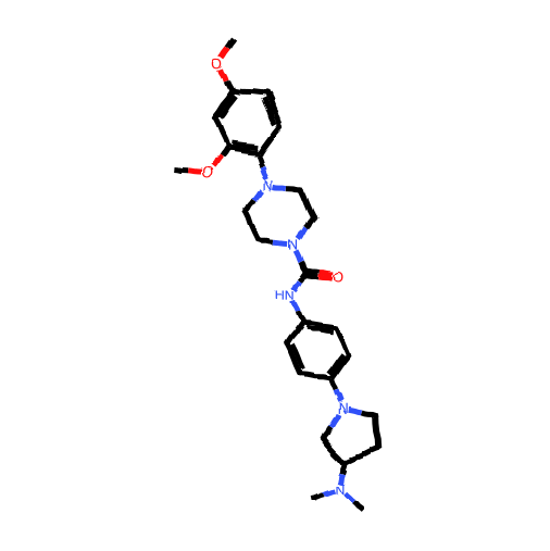 COc1ccc(N2CCN(C(=O)Nc3ccc(N4CCC(N(C)C)C4)cc3)CC2)c(OC)c1